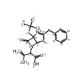 C=C(C)C(C(=O)O)N1C(=O)C2(CC(Cl)(Cl)Cl)N=C(Cc3ccccc3)SC12